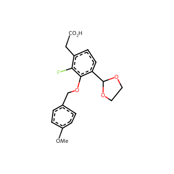 COc1ccc(COc2c(C3OCCO3)ccc(CC(=O)O)c2F)cc1